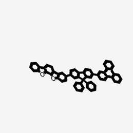 c1ccc(C2(c3ccccc3)c3cc(-c4ccc5oc6c(ccc7c8ccccc8oc76)c5c4)ccc3-c3ccc(-c4ccc5c6ccccc6c6ccccc6c5c4)cc32)cc1